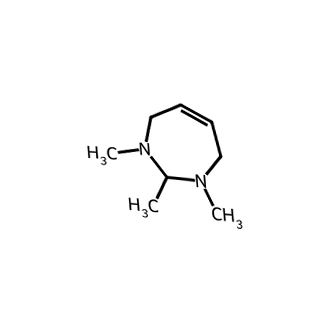 CC1N(C)CC=CCN1C